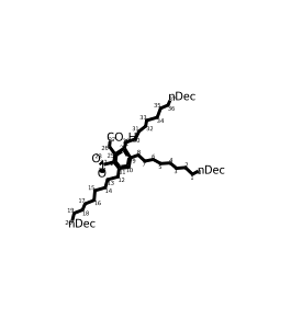 CCCCCCCCCCCCCCCCCCc1cc(CCCCCCCCCCCCCCCCCC)c(I(=O)=O)c(CC(=O)O)c1CCCCCCCCCCCCCCCCCC